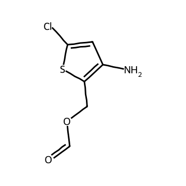 Nc1cc(Cl)sc1COC=O